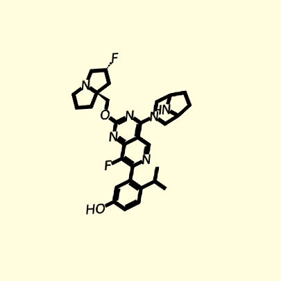 CC(C)c1ccc(O)cc1-c1ncc2c(N3CC4CCC(C3)N4)nc(OC[C@@]34CCCN3C[C@H](F)C4)nc2c1F